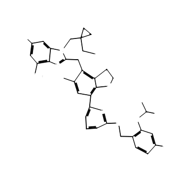 COc1cc(C(=O)O)cc2c1nc(Cc1c(F)cc(-c3cccc(OCc4ccc(Cl)cc4OC(F)F)n3)c3c1CCO3)n2CC1(CF)CC1